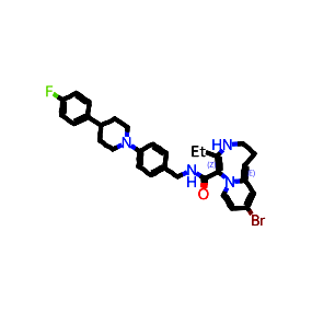 CC/C1=C(\C(=O)NCc2ccc(N3CCC(c4ccc(F)cc4)CC3)cc2)N2C=CC(Br)=C/C2=C\CCN1